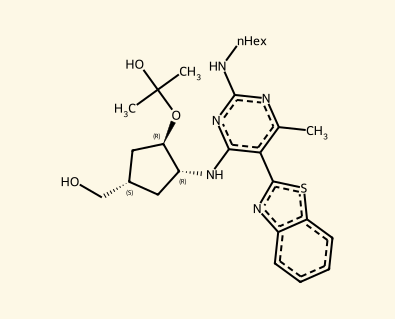 CCCCCCNc1nc(C)c(-c2nc3ccccc3s2)c(N[C@@H]2C[C@H](CO)C[C@H]2OC(C)(C)O)n1